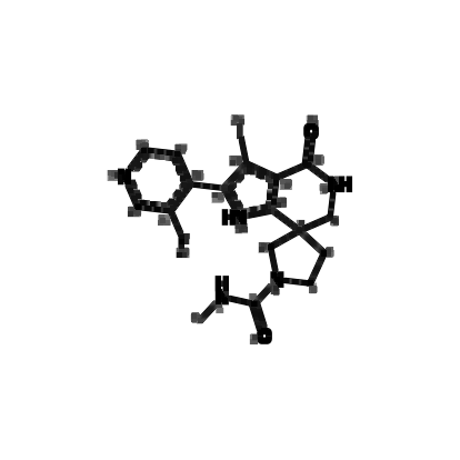 CNC(=O)N1CCC2(CNC(=O)c3c2[nH]c(-c2ccncc2F)c3I)C1